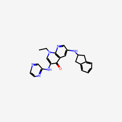 CCn1cc(Nc2cnccn2)c(=O)c2cc(NC3Cc4ccccc4C3)cnc21